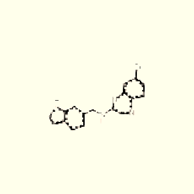 Brc1ccc2ncc(NCc3ccc4cc[nH]c4c3)nc2c1